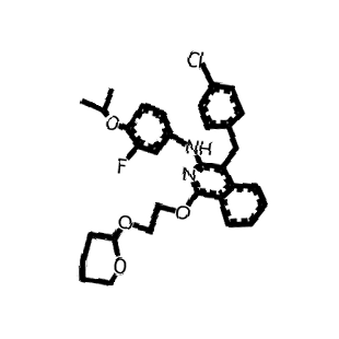 CC(C)Oc1ccc(Nc2nc(OCCOC3CCCCO3)c3ccccc3c2Cc2ccc(Cl)cc2)cc1F